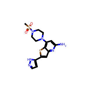 CS(=O)(=O)N1CCN(c2cc(N)nc3cc(-c4ccn[nH]4)sc23)CC1